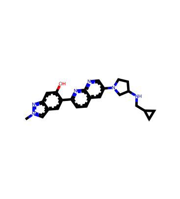 Cn1cc2cc(-c3ccc4cc(N5CCC(NCC6CC6)C5)cnc4n3)c(O)cc2n1